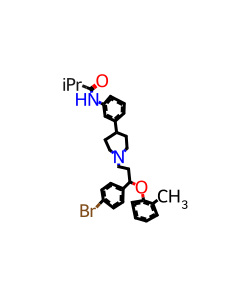 Cc1ccccc1OC(CCN1CCC(c2cccc(NC(=O)C(C)C)c2)CC1)c1ccc(Br)cc1